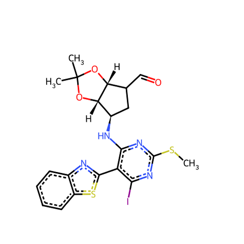 CSc1nc(I)c(-c2nc3ccccc3s2)c(N[C@@H]2CC(C=O)[C@H]3OC(C)(C)O[C@H]32)n1